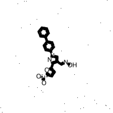 O=[N+]([O-])c1ccc(-c2nn(-c3ccc(-c4ccccc4)cc3)cc2C=NO)o1